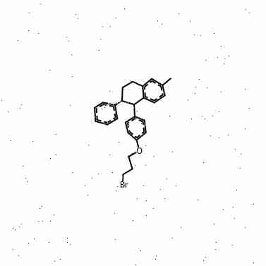 Cc1ccc2c(c1)CC[C@H](c1ccccc1)C2c1ccc(OCCCBr)cc1